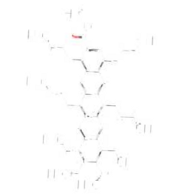 CCCCc1cc(C(=O)OC)c(CCCC)c2cc3c(CCCC)c4cc5c(CC)c(CC)c(CC)c(CC)c5cc4c(CCCC)c3cc12